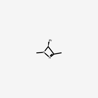 CC1=NN(C)[C@H]1C(C)C